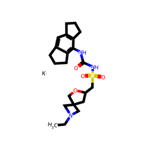 CCN1CC2(COC(CS(=O)(=O)NC(=O)Nc3c4c(cc5c3CCC5)CCC4)C2)C1.[K]